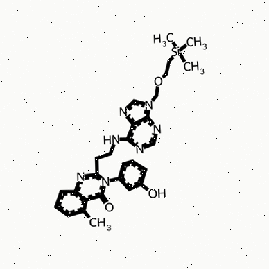 Cc1cccc2nc(CCNc3ncnc4c3ncn4COCC[Si](C)(C)C)n(-c3cccc(O)c3)c(=O)c12